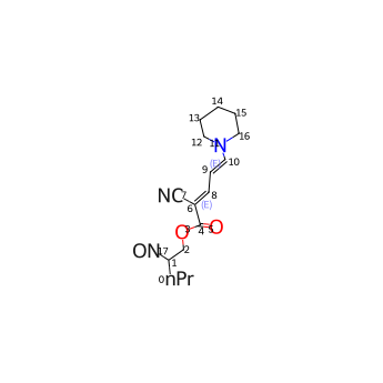 CCCC(COC(=O)/C(C#N)=C/C=C/N1CCCCC1)N=O